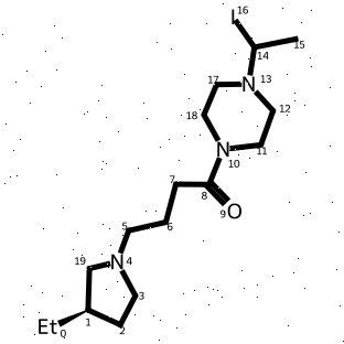 CC[C@@H]1CCN(CCCC(=O)N2CCN(C(C)I)CC2)C1